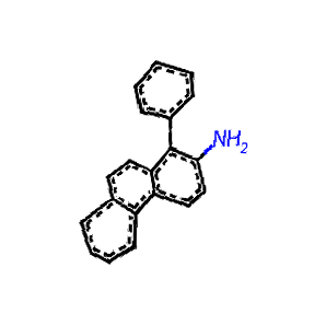 Nc1ccc2c(ccc3ccccc32)c1-c1ccccc1